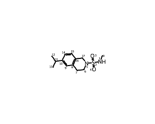 CNS(=O)(=O)N1CCc2cc(C(C)C)ccc2C1